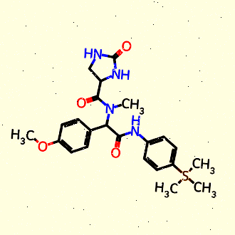 COc1ccc(C(C(=O)Nc2ccc(S(C)(C)C)cc2)N(C)C(=O)C2CNC(=O)N2)cc1